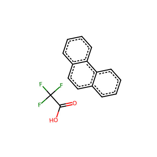 O=C(O)C(F)(F)F.c1ccc2c(c1)ccc1ccccc12